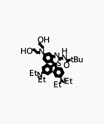 CCN(CC)c1ccc(C2(c3ccc(N(CC)CC)cc3)SC(NC(=O)C(C)(C)C)=Nc3cc(N(CCO)CCO)ccc32)cc1